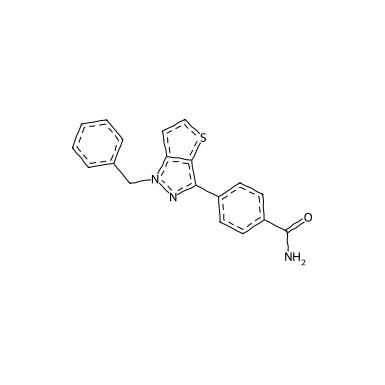 NC(=O)c1ccc(-c2nn(Cc3ccccc3)c3ccsc23)cc1